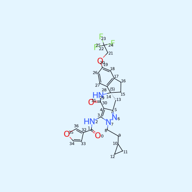 O=C(Nc1c2c(nn1CCC1CC1)C[C@]1(CCc3cc(OCC(F)(F)F)ccc31)NC2=O)c1ccoc1